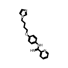 N=C(Nc1ccc(OCCCCn2ccnc2)cc1)c1ccccn1